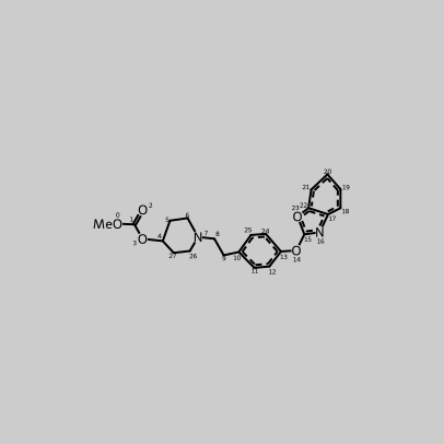 COC(=O)OC1CCN(CCc2ccc(Oc3nc4ccccc4o3)cc2)CC1